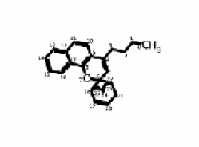 CCCCC1=CC2(Oc3c1ccc1ccccc31)C1C=CCC2CCC1